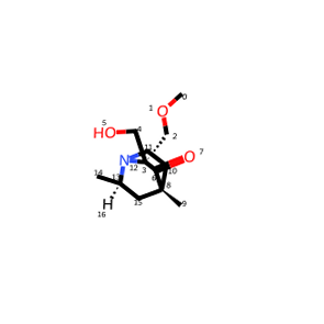 COC[C@]1(CO)C(=O)[C@]2(C)CCN1[C@H](C)C2